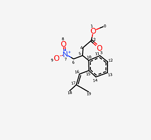 COC(=O)CC(C[N+](=O)[O-])c1ccccc1C=C(C)C